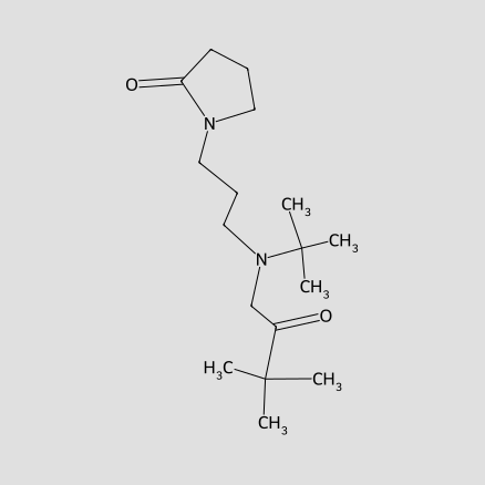 CC(C)(C)C(=O)CN(CCCN1CCCC1=O)C(C)(C)C